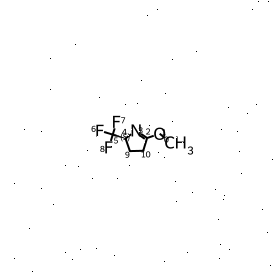 COC1=N[C@H](C(F)(F)F)CC1